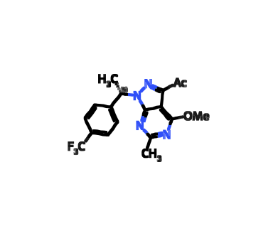 COc1nc(C)nc2c1c(C(C)=O)nn2[C@@H](C)c1ccc(C(F)(F)F)cc1